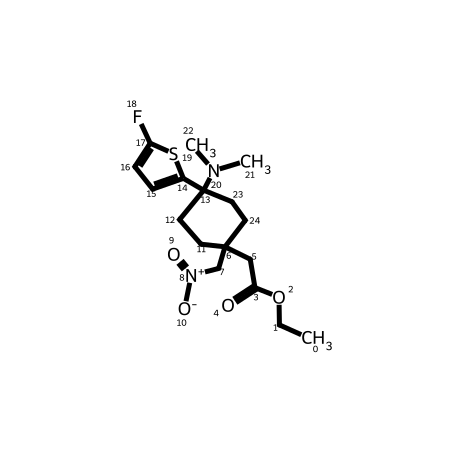 CCOC(=O)CC1(C[N+](=O)[O-])CCC(c2ccc(F)s2)(N(C)C)CC1